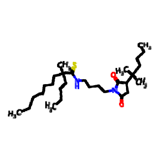 CCCCCCCC(C)(CCCC)C(=S)NCCCCN1C(=O)CC(C(C)(C)CCCC)C1=O